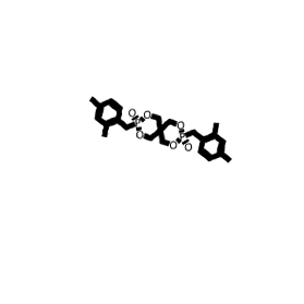 Cc1ccc(CP2(=O)OCC3(CO2)COP(=O)(Cc2ccc(C)cc2C)OC3)c(C)c1